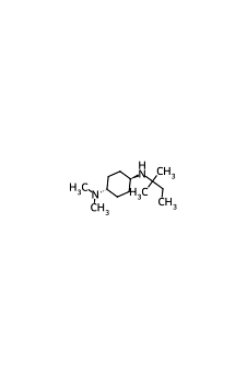 CCC(C)(C)N[C@H]1CC[C@H](N(C)C)CC1